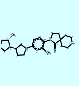 Cc1nc(N2CC[C@@H](N3CCC[C@@H]3C)C2)ccc1N1CCC2(CCNCC2)C1=O